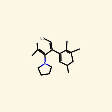 CC/C=C(/C1=CC(C)CC(C)=C1C)C(=C(C)C)N1CCCC1